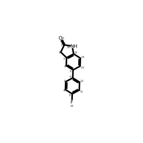 O=C1Cc2cc(-c3ccc(F)cc3)ccc2N1